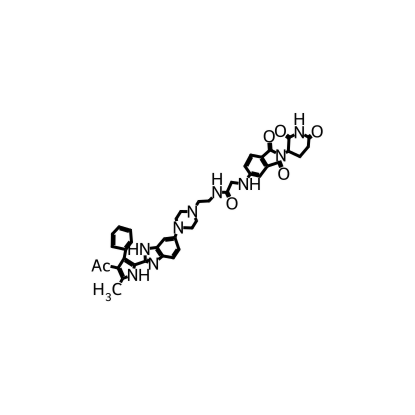 CC(=O)c1c(C)[nH]c(-c2nc3ccc(N4CCN(CCNC(=O)CNc5ccc6c(c5)C(=O)N(C5CCC(=O)NC5=O)C6=O)CC4)cc3[nH]2)c1-c1ccccc1